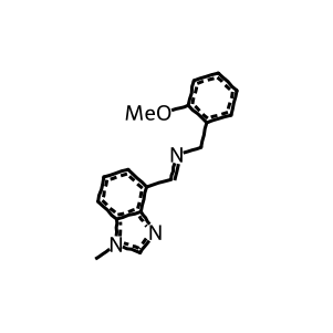 COc1ccccc1CN=Cc1cccc2c1ncn2C